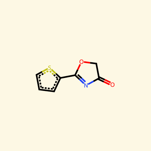 O=C1COC(c2cccs2)=N1